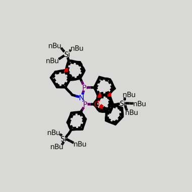 CCCC[Si](CCCC)(CCCC)c1ccc(P(c2ccc([Si](CCCC)(CCCC)CCCC)cc2)N(Cc2ccccc2)P(c2ccc([Si](CCCC)(CCCC)CCCC)cc2)c2cccc3c2oc2ccccc23)cc1